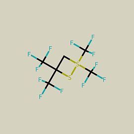 FC(F)(F)C1(C(F)(F)F)CS(C(F)(F)F)(C(F)(F)F)S1